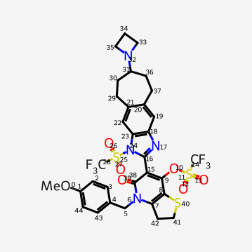 COc1ccc(Cn2c3c(c(OS(=O)(=O)C(F)(F)F)c(-c4nc5cc6c(cc5n4S(=O)(=O)C(F)(F)F)CCC(N4CCC4)CC6)c2=O)SCC3)cc1